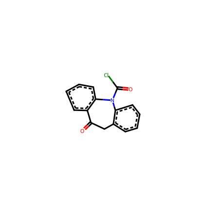 O=C1Cc2ccccc2N(C(=O)Cl)c2ccccc21